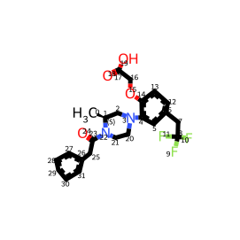 C[C@H]1CN(c2cc(CC(F)(F)F)ccc2OCC(=O)O)CCN1C(=O)Cc1ccccc1